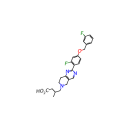 CC(CC(=O)O)CN1CCc2nc(-c3ccc(OCc4cccc(F)c4)cc3F)ncc2C1